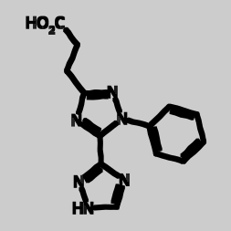 O=C(O)CCc1nc(-c2nc[nH]n2)n(-c2ccccc2)n1